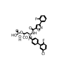 O=C(NN(Cc1ccc(-c2cc(Cl)ccc2F)cc1)C[C@@H](OP(=O)(O)O)C(=O)O)c1cc(-c2ccccc2F)no1